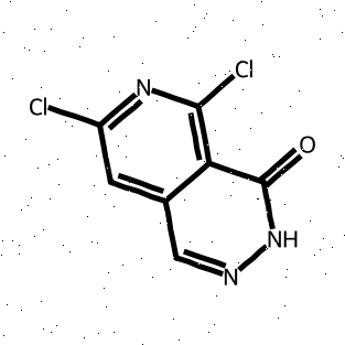 O=c1[nH]ncc2cc(Cl)nc(Cl)c12